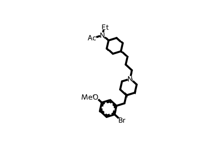 CCN(C(C)=O)C1CCC(CCCN2CCC(Cc3cc(OC)ccc3Br)CC2)CC1